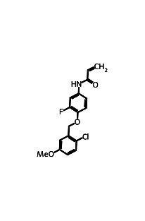 C=CC(=O)Nc1ccc(OCc2cc(OC)ccc2Cl)c(F)c1